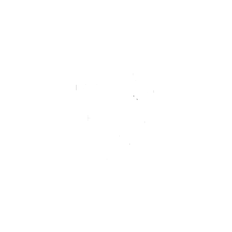 CCc1c(C(=O)O)c(C(=O)O)n(CC)c(=O)c1C(=O)CBr